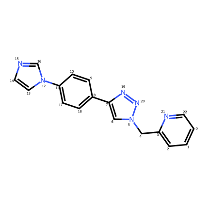 c1ccc(Cn2cc(-c3ccc(-n4ccnc4)cc3)nn2)nc1